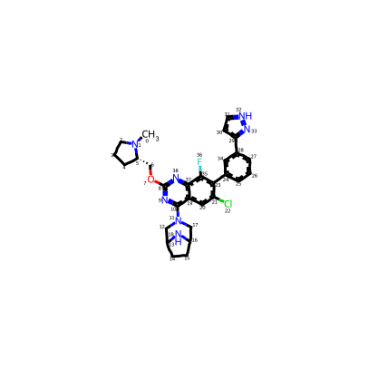 CN1CCC[C@H]1COc1nc(N2CC3CCC(C2)N3)c2cc(Cl)c(-c3cccc(-c4cc[nH]n4)c3)c(F)c2n1